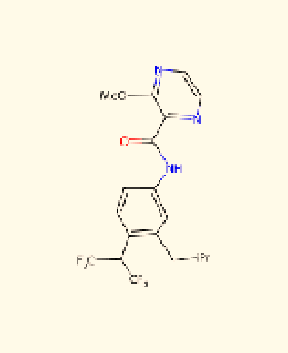 COc1nccnc1C(=O)Nc1ccc(C(C(F)(F)F)C(F)(F)F)c(CC(C)C)c1